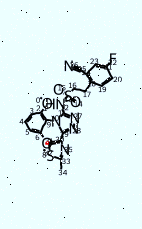 COc1cccc(OC)c1-n1c(NS(=O)(=O)CCc2ccc(F)cc2C#N)nnc1-c1csc(C)n1